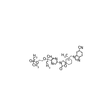 CC(C)(OCCOP(C)(C)=O)c1cnc(N2C[C@@]3(CCC[C@](C)(Cn4cnc5ccc(C#N)cc54)C3)OC2=O)cn1